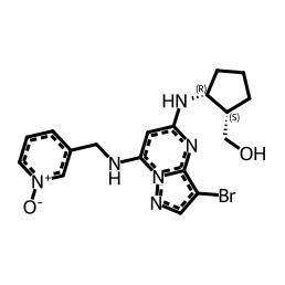 [O-][n+]1cccc(CNc2cc(N[C@@H]3CCC[C@@H]3CO)nc3c(Br)cnn23)c1